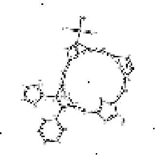 O=S(=O)(O)C1=Cc2cc3[nH]c(cc4nc(cc5ccc(cc1n2)[nH]5)C=C4)c(-c1ccccc1)c3-c1ccc[nH]1.[Zn]